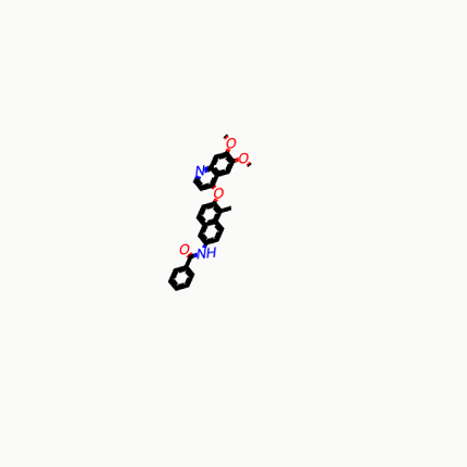 COc1cc2nccc(Oc3ccc4cc(NC(=O)c5ccccc5)ccc4c3C)c2cc1OC